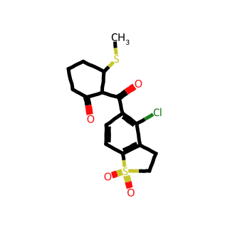 CSC1CCCC(=O)C1C(=O)c1ccc2c(c1Cl)CCS2(=O)=O